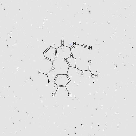 N#C/N=C(/Nc1cccc(OC(F)F)c1)N1CC(NC(=O)O)C(c2ccc(Cl)c(Cl)c2)=N1